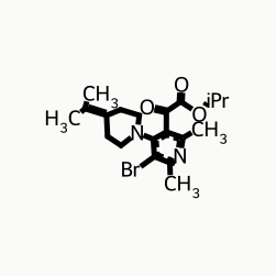 CC(C)=C1CCN(c2c(Br)c(C)nc(C)c2C(=O)C(=O)OC(C)C)CC1